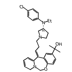 CCN(c1ccc(Cl)cc1)[C@@H]1CCN(CCC=C2C3=CC=CCN3COc3ccc(C(C)(C)O)cc32)C1